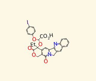 CCC1(OC(Oc2ccc(I)cc2)C(=O)O)C(=O)OCc2c1cc1n(c2=O)Cc2cc3ccccc3nc2-1